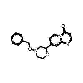 O=c1ccnc2cc(C3CN(OCc4ccccc4)CCO3)ccn12